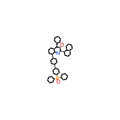 O=P(c1ccccc1)(c1ccccc1)c1ccc(-c2ccc(-c3cccc4c3nc(-c3cccc5ccccc35)c3oc5ccccc5c34)cc2)cc1